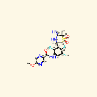 COc1cnc(C(=O)Nc2cc(F)c(F)c([C@]3(C)CS(=O)(=O)C(C)(C)C(=N)N3)c2F)cn1